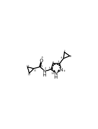 O=C(Nc1cc(C2CC2)n[nH]1)C1CC1